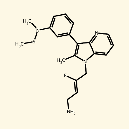 CSN(C)c1cccc(-c2c(C)n(C/C(F)=C/CN)c3cccnc23)c1